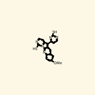 COc1ccc2nc3c(cc2c1)c(-c1ccnc(S)n1)c1ccnc(S)n13